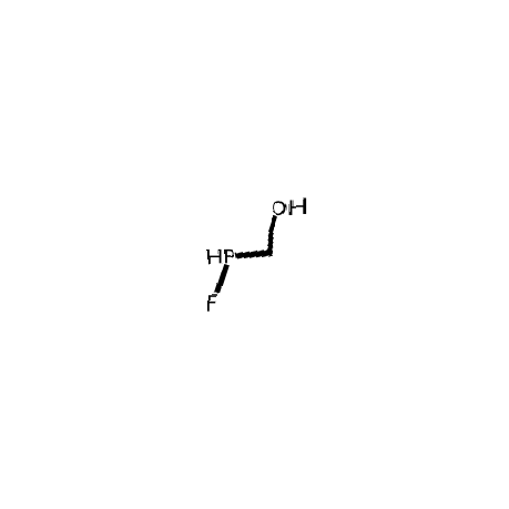 OCPF